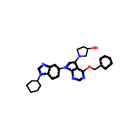 OC1CCN(c2cn(-c3ccc4c(c3)ncn4C3CCCCC3)c3ncnc(OCc4ccccc4)c23)C1